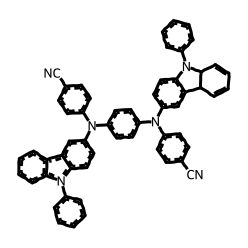 N#Cc1ccc(N(c2ccc(N(c3ccc(C#N)cc3)c3ccc4c(c3)c3ccccc3n4-c3ccccc3)cc2)c2ccc3c(c2)C2C=CC=CC2N3c2ccccc2)cc1